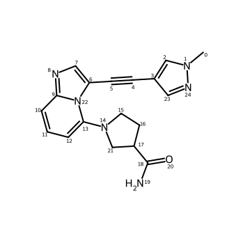 Cn1cc(C#Cc2cnc3cccc(N4CCC(C(N)=O)C4)n23)cn1